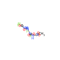 CS(=O)(=O)N1CCC(CC(=O)Nc2ccn(CCC(F)Cn3cc(C(=O)NCc4cccc(OC(F)(F)F)c4)nn3)c(=O)c2F)CC1